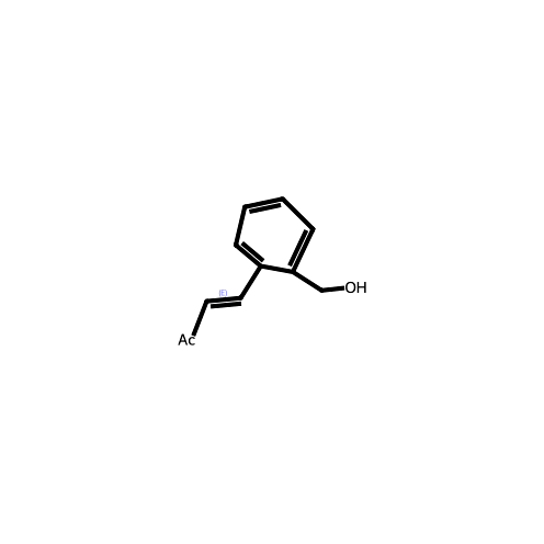 CC(=O)/C=C/c1ccccc1CO